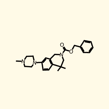 CN1CCN(c2ccc3c(c2)CN(C(=O)OCc2ccccc2)CC3(C)C)CC1